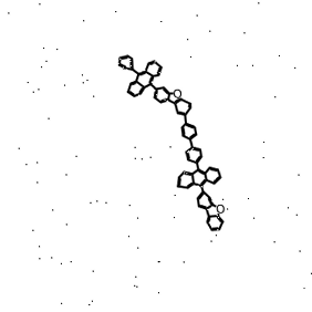 c1ccc(-c2c3ccccc3c(-c3ccc4c(c3)oc3ccc(-c5ccc(-c6ccc(-c7c8ccccc8c(-c8ccc9c(c8)oc8ccccc89)c8ccccc78)cc6)cc5)cc34)c3ccccc23)cc1